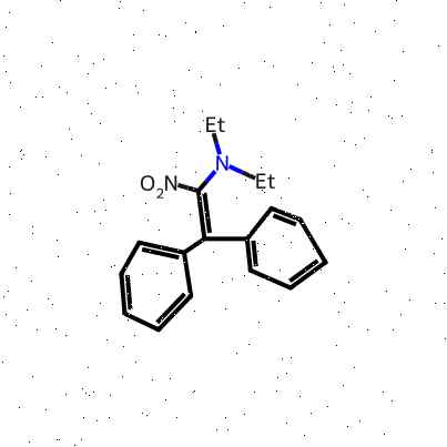 CCN(CC)C(=C(c1ccccc1)c1ccccc1)[N+](=O)[O-]